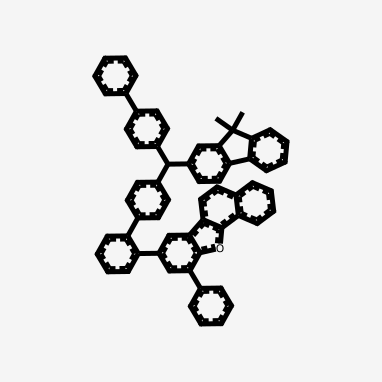 CC1(C)c2ccccc2-c2ccc(C(c3ccc(-c4ccccc4)cc3)c3ccc(-c4ccccc4-c4cc(-c5ccccc5)c5oc6c7ccccc7ccc6c5c4)cc3)cc21